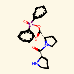 O=C(OP(=O)(c1ccccc1)c1ccccc1)[C@@H]1CCCN1C(=O)[C@@H]1CCCN1